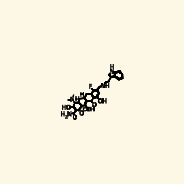 CN(C)[C@@H]1C(O)=C(C(N)=O)C(=O)[C@@]2(O)C(O)=C3C(=O)c4c(O)cc(CNCCc5c[nH]c6ccccc56)c(F)c4C[C@H]3C[C@@H]12